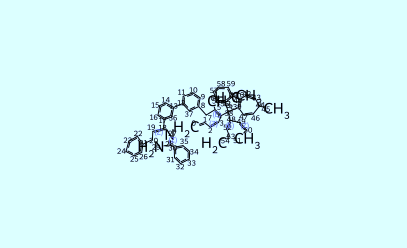 C=C/C=C\C(=C(\C)Cc1cccc(-c2cccc(C(=C/Cc3ccccc3)/N=C(\N)c3ccccc3)c2)c1)C(C1=C(C)C=CC(C)C=C1)(C(/C=C\C)=C/C=C)c1ccccc1C